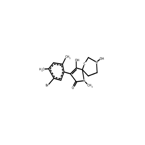 Cc1cc(C)c(C2=C(O)C3(CCN(O)CC3)N(C)C2=O)cc1Br